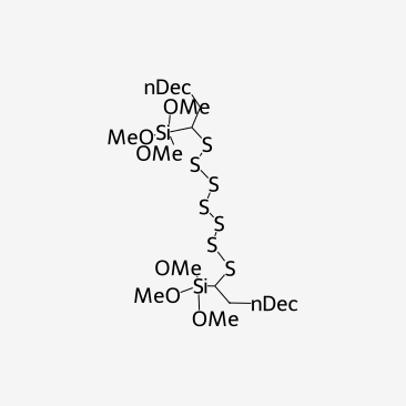 CCCCCCCCCCCC(SSSSSSSC(CCCCCCCCCCC)[Si](OC)(OC)OC)[Si](OC)(OC)OC